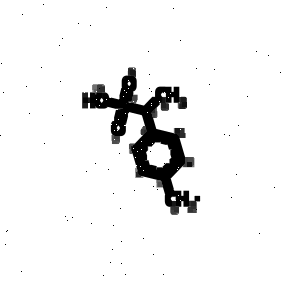 [CH2]c1ccc(C(C)S(=O)(=O)O)cc1